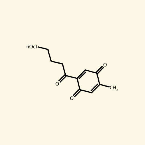 CCCCCCCCCCCC(=O)C1=CC(=O)C(C)=CC1=O